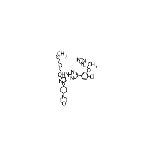 COCCOCCOc1nn(C2CCC(N3CCOCC3)CC2)cc1Nc1ncc(-c2ccc(Cl)c(O[C@@H](C)Cn3cncn3)c2)cn1